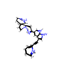 C(#Cc1c[nH]c2ncc(-c3cc4n(n3)CCC43CCNC3)cc12)c1ccccn1